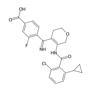 N=C(C1=C(NC(=O)c2c(Cl)cccc2C2CC2)COCC1)c1ccc(C(=O)O)cc1F